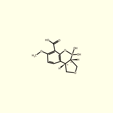 COc1ccc2c(c1C(=O)O)O[B-](O)(O)[C@@H]1COC[C@H]21